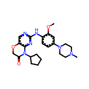 COc1cc(N2CCN(C)CC2)ccc1Nc1ncc2c(n1)N(C1CCCC1)C(=O)CO2